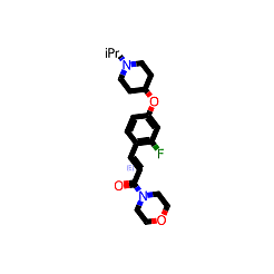 CC(C)N1CCC(Oc2ccc(/C=C/C(=O)N3CCOCC3)c(F)c2)CC1